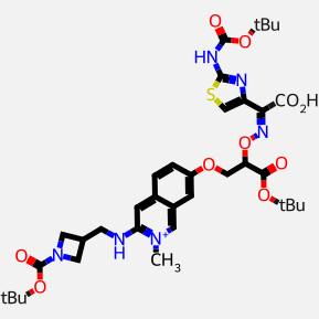 C[n+]1cc2cc(OCC(ON=C(C(=O)O)c3csc(NC(=O)OC(C)(C)C)n3)C(=O)OC(C)(C)C)ccc2cc1NCC1CN(C(=O)OC(C)(C)C)C1